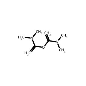 C=C(OC(=C)N(C)C)N(C)C